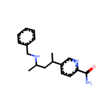 CC(CC(C)c1ccc(C(N)=O)nc1)NCc1ccccc1